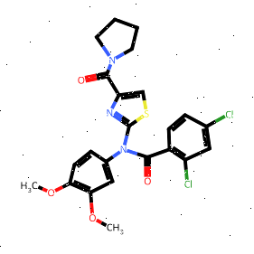 COc1ccc(N(C(=O)c2ccc(Cl)cc2Cl)c2nc(C(=O)N3CCCC3)cs2)cc1OC